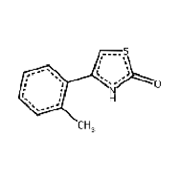 Cc1ccccc1-c1csc(=O)[nH]1